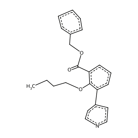 CCCCOc1c(C(=O)OCc2ccccc2)cccc1-c1ccncc1